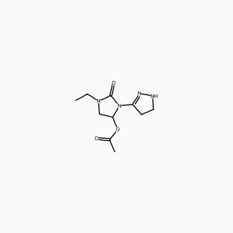 CCN1CC(OC(C)=O)N(C2=NNCC2)C1=O